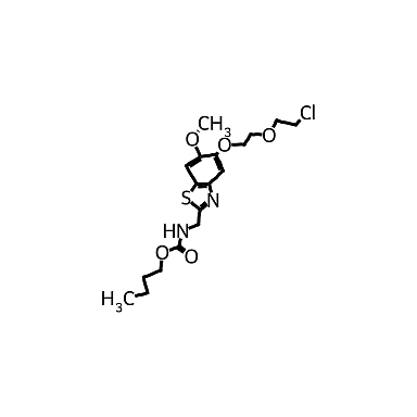 CCCCOC(=O)NCc1nc2cc(OCCOCCCl)c(OC)cc2s1